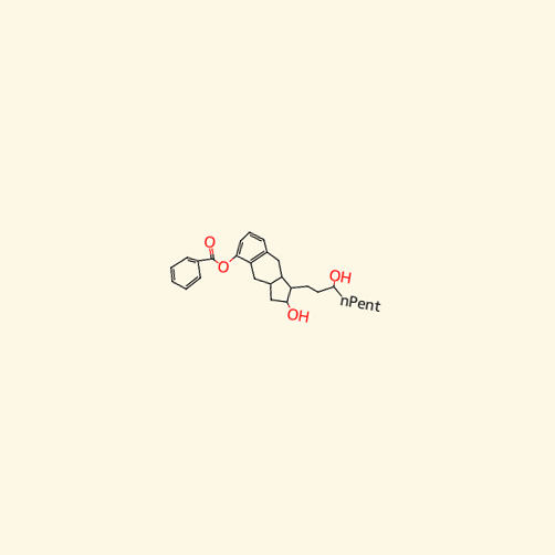 CCCCCC(O)CCC1C(O)CC2Cc3c(cccc3OC(=O)c3ccccc3)CC21